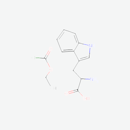 CCOC(=O)Cl.NC(Cc1c[nH]c2ccccc12)C(=O)O